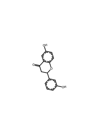 O=C1CC(c2cccc(O)c2)Oc2ccc(O)cc21